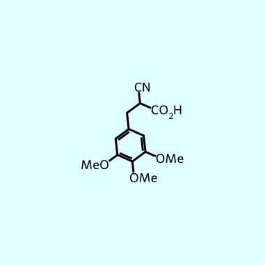 COc1cc(CC(C#N)C(=O)O)cc(OC)c1OC